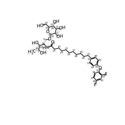 C[C@@H](O)[C@@H](O)[C@H](CO[C@H]1OC(CO)[C@H](O)C(O)C1O)NC(=O)CCCCCCCCCCc1ccc(Oc2ccc(F)cc2F)cc1